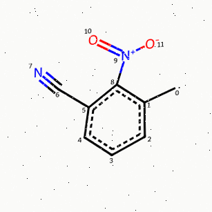 [CH2]c1cccc(C#N)c1[N+](=O)[O-]